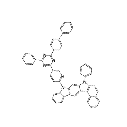 c1ccc(-c2ccc(-c3nc(-c4ccccc4)nc(-c4ccc(-n5c6ccccc6c6cc7c8c9ccccc9ccc8n(-c8ccccc8)c7cc65)nc4)n3)cc2)cc1